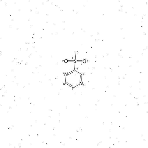 CS(=O)(=O)c1cn[c]cn1